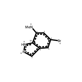 CNc1cc(Br)cc2cn[nH]c12